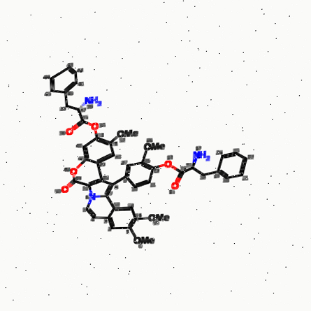 COc1cc2ccn3c(c(-c4ccc(OC(=O)[C@@H](N)Cc5ccccc5)c(OC)c4)c4c5cc(OC)c(OC(=O)[C@@H](N)Cc6ccccc6)cc5oc(=O)c43)c2cc1OC